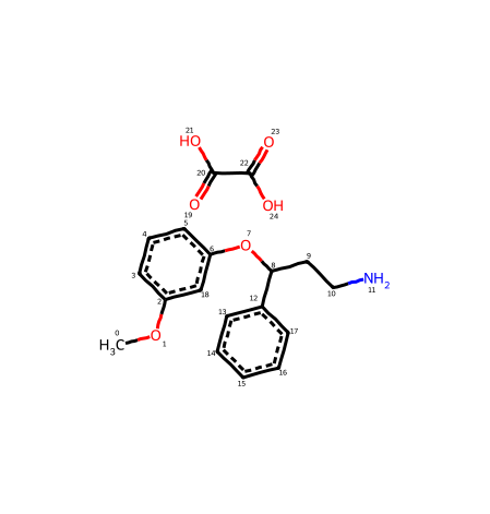 COc1cccc(OC(CCN)c2ccccc2)c1.O=C(O)C(=O)O